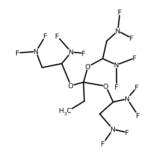 CCC(OC(CN(F)F)N(F)F)(OC(CN(F)F)N(F)F)OC(CN(F)F)N(F)F